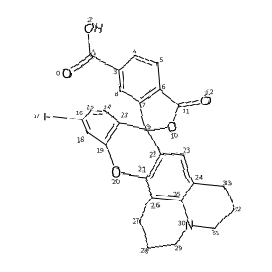 O=C(O)c1ccc2c(c1)C1(OC2=O)c2ccc(I)cc2Oc2c1cc1c3c2CCCN3CCC1